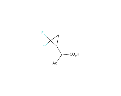 CC(=O)C(C(=O)O)C1CC1(F)F